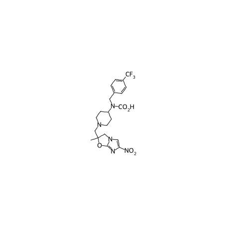 CC1(CN2CCC(N(Cc3ccc(C(F)(F)F)cc3)C(=O)O)CC2)Cn2cc([N+](=O)[O-])nc2O1